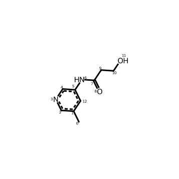 Cc1cncc(NC(=O)CCO)c1